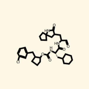 O=CC(CC1CC2(CCCC2)NC1=O)NC(=O)[C@H](CC1CCCCC1)NC(=O)OC1CCCC1Cc1cccc(Cl)c1